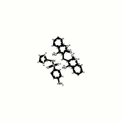 Nc1ccc(S(=O)(=O)Nc2nccs2)cc1.O=c1oc2ccccc2c(O)c1Cc1c(O)c2ccccc2oc1=O